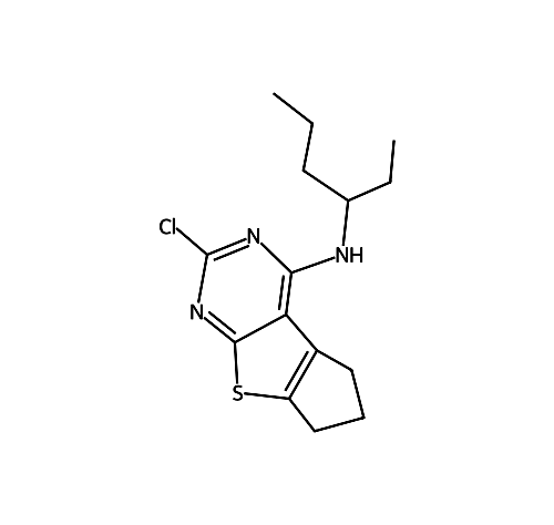 CCCC(CC)Nc1nc(Cl)nc2sc3c(c12)CCC3